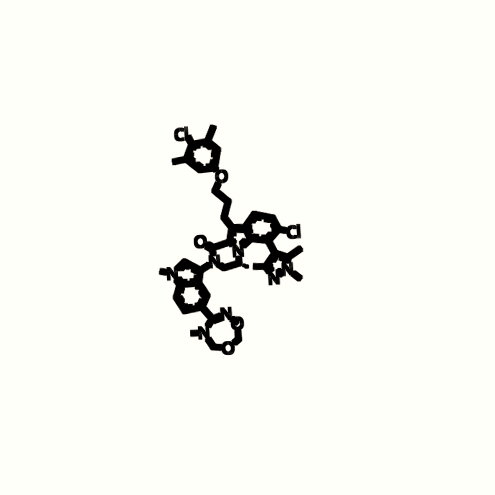 Cc1cc(OCCCc2c3n(c4c(-c5c(C)nn(C)c5C)c(Cl)ccc24)[C@H](C)CN(c2cn(C)c4ccc(C5=NOCOCN5C)cc24)C3=O)cc(C)c1Cl